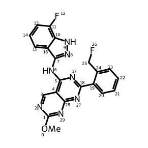 COc1ncc2c(Nc3n[nH]c4c(F)cccc34)nc(-c3ccccc3CF)nc2n1